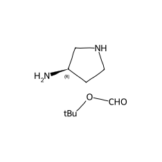 CC(C)(C)OC=O.N[C@@H]1CCNC1